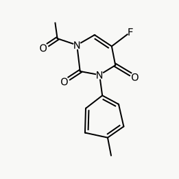 CC(=O)n1cc(F)c(=O)n(-c2ccc(C)cc2)c1=O